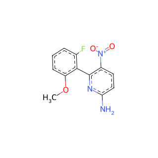 COc1cccc(F)c1-c1nc(N)ccc1[N+](=O)[O-]